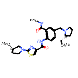 CCCNC(=O)c1cc(CN2CCC[C@@H]2COC)ccc1NC(=O)c1csc(N2CC[C@H](OC)C2)n1